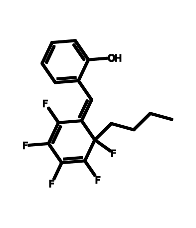 CCCCC1(F)C(F)=C(F)C(F)=C(F)/C1=C\c1ccccc1O